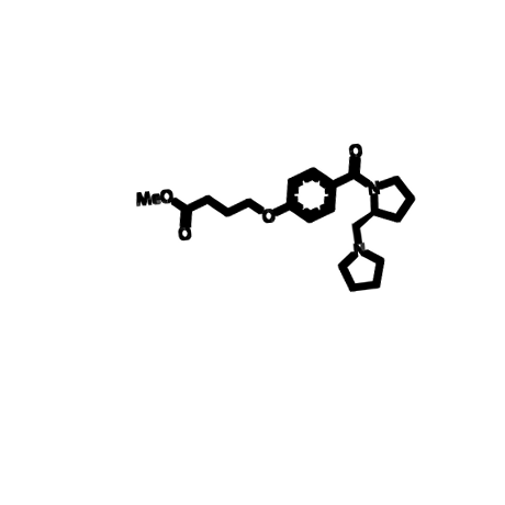 COC(=O)CCCOc1ccc(C(=O)N2CCC[C@H]2CN2CCCC2)cc1